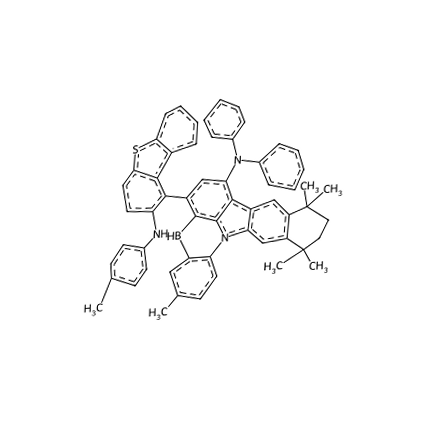 Cc1ccc(Nc2ccc3sc4ccccc4c3c2-c2cc(N(c3ccccc3)c3ccccc3)c3c4cc5c(cc4n4c3c2Bc2cc(C)ccc2-4)C(C)(C)CCC5(C)C)cc1